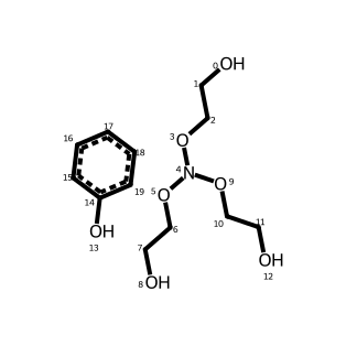 OCCON(OCCO)OCCO.Oc1ccccc1